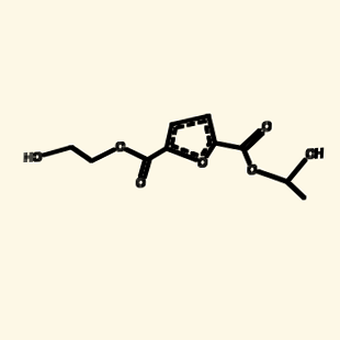 CC(O)OC(=O)c1ccc(C(=O)OCCO)o1